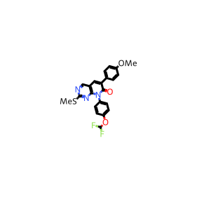 COc1ccc(-c2cc3cnc(SC)nc3n(-c3ccc(OC(F)F)cc3)c2=O)cc1